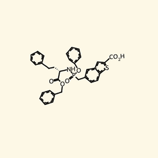 O=C(O)c1cc2cc(CP(=O)(N[C@@H](CCc3ccccc3)C(=O)OCc3ccccc3)Oc3ccccc3)ccc2s1